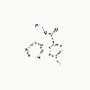 CCCOC(=O)c1ccc(O)cc1.c1ncncn1